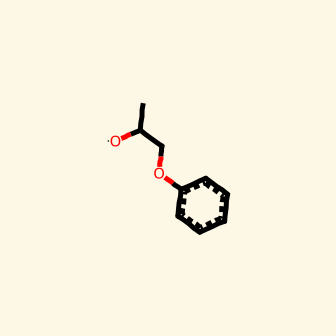 CC([O])COc1ccccc1